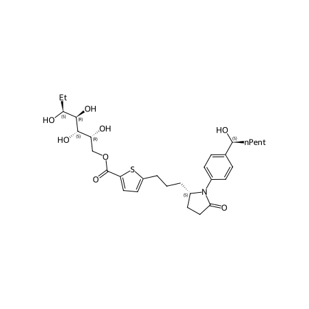 CCCCC[C@H](O)c1ccc(N2C(=O)CC[C@@H]2CCCc2ccc(C(=O)OC[C@@H](O)[C@H](O)[C@H](O)[C@@H](O)CC)s2)cc1